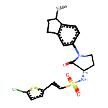 CNC1CCc2cc(N3CC[C@H](NS(=O)(=O)C=Cc4ccc(Cl)s4)C3=O)ccc21